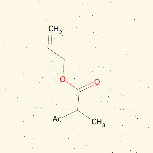 C=CCOC(=O)C(C)C(C)=O